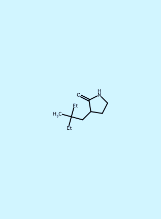 CCC(C)(CC)CC1CCNC1=O